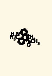 CC(=O)Nc1cccc(C)c1-c1c(C)cccc1N